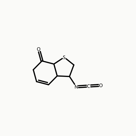 O=C=NC1CSC2C(=O)CC=CC12